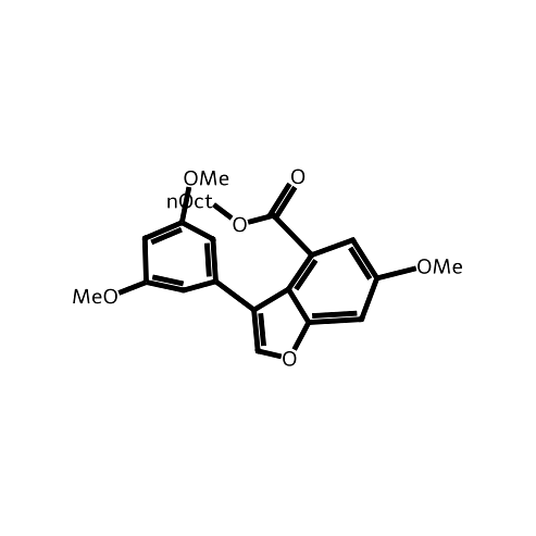 CCCCCCCCOC(=O)c1cc(OC)cc2occ(-c3cc(OC)cc(OC)c3)c12